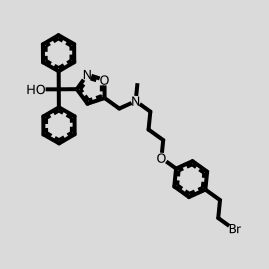 CN(CCCOc1ccc(CCBr)cc1)Cc1cc(C(O)(c2ccccc2)c2ccccc2)no1